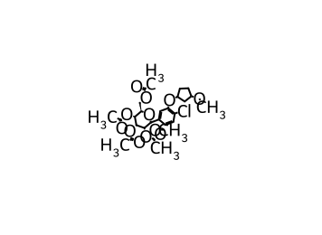 COC1CCC(Oc2cc(C3(OC)O[C@H](COC(C)=O)[C@@H](OC(C)=O)[C@H](OC(C)=O)[C@H]3OC(C)=O)ccc2Cl)C1